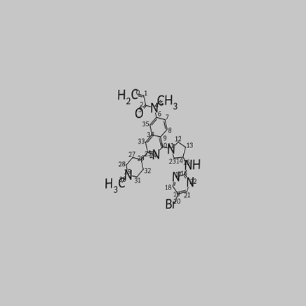 C=CC(=O)N(C)c1ccc2c(N3CCC(Nc4ncc(Br)cn4)C3)nc(C3CCN(C)CC3)cc2c1